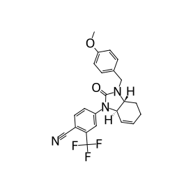 COc1ccc(CN2C(=O)N(c3ccc(C#N)c(C(F)(F)F)c3)[C@@H]3C=CCC[C@H]32)cc1